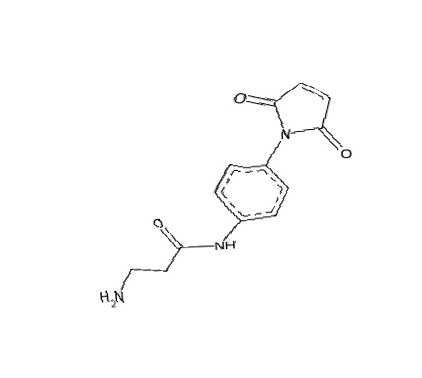 NCCC(=O)Nc1ccc(N2C(=O)C=CC2=O)cc1